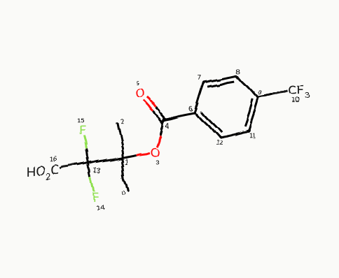 CC(C)(OC(=O)c1ccc(C(F)(F)F)cc1)C(F)(F)C(=O)O